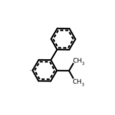 CC(C)c1cc[c]cc1-c1ccccc1